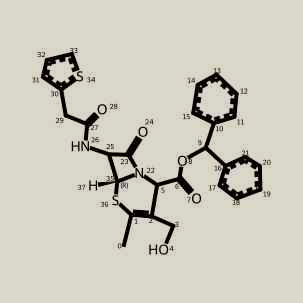 CC1=C(CO)C(C(=O)OC(c2ccccc2)c2ccccc2)N2C(=O)C(NC(=O)Cc3cccs3)[C@H]2S1